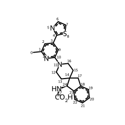 Cc1cc(-c2nccs2)cc(N2CCC3(CC2)Cc2ccccc2[C@H]3NC(=O)O)n1